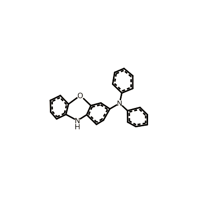 c1ccc(N(c2ccccc2)c2ccc3c(c2)Oc2ccccc2N3)cc1